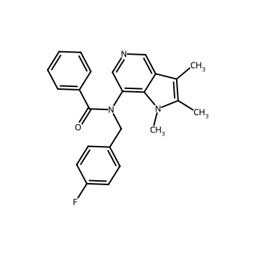 Cc1c(C)n(C)c2c(N(Cc3ccc(F)cc3)C(=O)c3ccccc3)cncc12